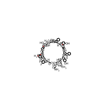 CCCC[C@H]1C(=O)N2CCC[C@@H]2C(=O)N[C@@H](CC(=O)O)C(=O)N[C@@H](C(C)C)C(=O)N(C)[C@@H](Cc2ccccc2)C(=O)N[C@@H](Cc2ccc(O)cc2)C(=O)N2CCC[C@@H]2C(=O)N[C@@H](Cc2c[nH]c3ccccc23)C(=O)N[C@@H](Cc2ccc(O)cc2)C(=O)N[C@@H](CCCNC)C(=O)N[C@H](C(=O)NCC(N)=O)CSCC(=O)N[C@@H](Cc2cc(F)c(F)c(F)c2)C(=O)N(C)[C@@H](Cc2ccccc2)C(=O)N1C